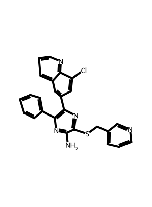 Nc1nc(-c2ccccc2)c(-c2cc(Cl)c3ncccc3c2)nc1SCc1cccnc1